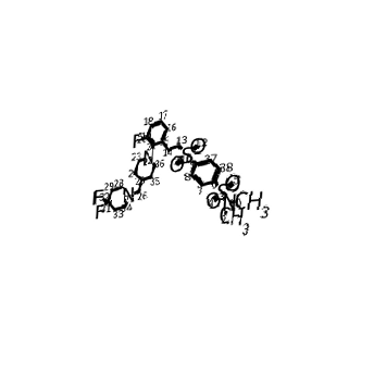 CN(C)S(=O)(=O)c1ccc(S(=O)(=O)CCc2cccc(F)c2N2CCC(CN3CCC(F)(F)CC3)CC2)cc1